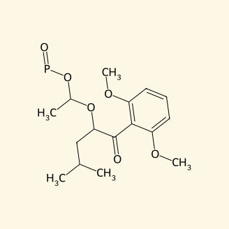 COc1cccc(OC)c1C(=O)C(CC(C)C)OC(C)OP=O